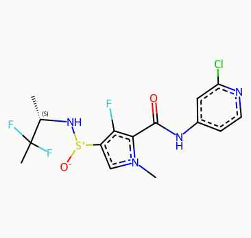 C[C@H](N[S+]([O-])c1cn(C)c(C(=O)Nc2ccnc(Cl)c2)c1F)C(C)(F)F